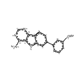 COc1cccc(-c2ccc3c(c2)sc2c(N)ncnc23)c1